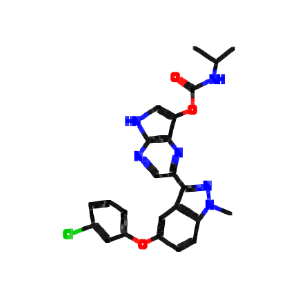 CC(C)NC(=O)Oc1c[nH]c2ncc(-c3nn(C)c4ccc(Oc5cccc(Cl)c5)cc34)nc12